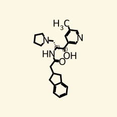 Cc1cncc([C@@H](O)[C@@H](CN2CCCC2)NC(=O)CC2Cc3ccccc3C2)c1